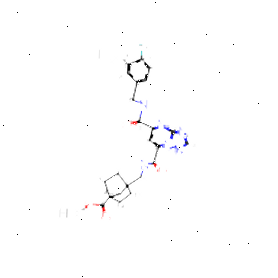 COC(=O)C12CCC(CNC(=O)c3cc(C(=O)NCc4ccc(F)c(C)c4)nc4ncnn34)(CC1)C2